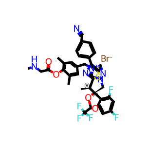 CNCC(=O)Oc1c(C)cc(C[n+]2cnn(C[C@](OC(=O)C(F)(F)F)(c3ccc(F)cc3F)[C@@H](C)c3nc(-c4ccc(C#N)cc4)cs3)c2)cc1C.[Br-]